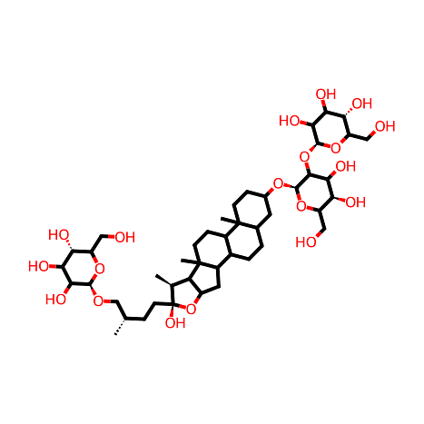 C[C@@H](CC[C@@]1(O)OC2CC3C4CCC5CC(O[C@@H]6OC(CO)[C@H](O)C(O)C6O[C@@H]6OC(CO)[C@@H](O)C(O)C6O)CCC5(C)C4CCC3(C)C2[C@@H]1C)CO[C@@H]1OC(CO)[C@@H](O)C(O)C1O